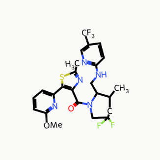 COc1cccc(-c2sc(C)nc2C(=O)N2CC(F)(F)CC(C)C2CNc2ccc(C(F)(F)F)cn2)n1